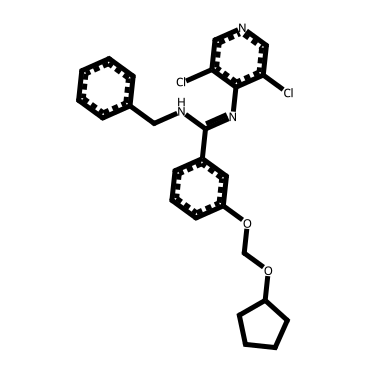 Clc1cncc(Cl)c1N=C(NCc1ccccc1)c1cccc(OCOC2CCCC2)c1